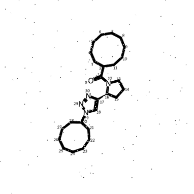 O=C(C1CCCCCCCCC1)N1CCC[C@H]1c1cn(C2CCCCCCCC2)nn1